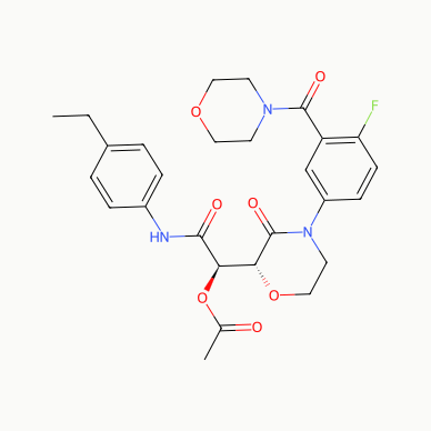 CCc1ccc(NC(=O)[C@H](OC(C)=O)[C@H]2OCCN(c3ccc(F)c(C(=O)N4CCOCC4)c3)C2=O)cc1